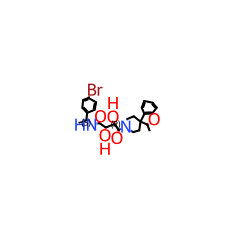 CC(=O)C1(c2ccccc2)CCN(C(=O)[C@H](O)C(O)C(=O)N[C@@H](C)c2ccc(Br)cc2)CC1